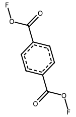 O=C(OF)c1ccc(C(=O)OF)cc1